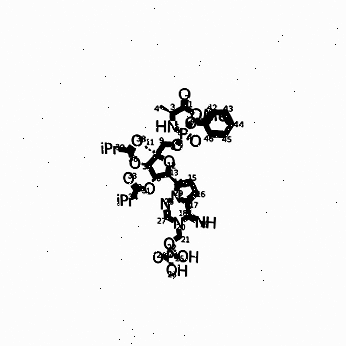 COC(=O)[C@H](C)N[P@](=O)(OC[C@@]1(C)O[C@@H](c2ccc3c(=N)n(COP(=O)(O)O)cnn23)[C@H](OC(=O)C(C)C)[C@@H]1OC(=O)C(C)C)Oc1ccccc1